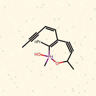 CC#C/C=C\C1=C(CCC)[PH](C)(O)OC(C)C#C1